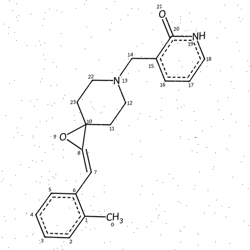 Cc1ccccc1C=C1OC12CCN(Cc1ccc[nH]c1=O)CC2